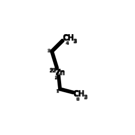 C[CH2][22Zn][CH2]C